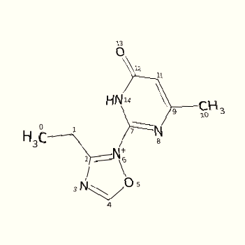 CCc1nco[n+]1-c1nc(C)cc(=O)[nH]1